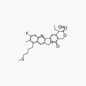 CC[C@@]1(O)C(=O)OCc2c1cc1n(c2=O)Cc2cc3c(CCCCSC)c(C)c(F)cc3nc2-1